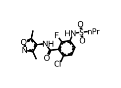 CCCS(=O)(=O)Nc1ccc(Cl)c(C(=O)Nc2c(C)noc2C)c1F